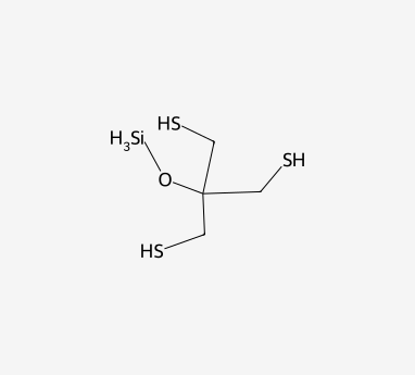 [SiH3]OC(CS)(CS)CS